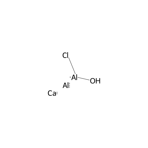 [Al].[Ca].[OH][Al][Cl]